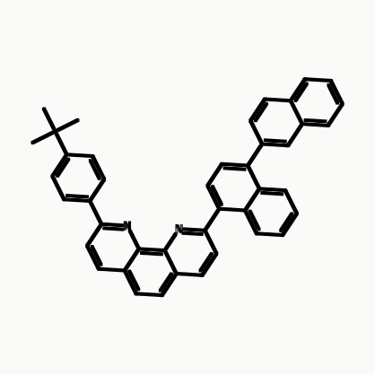 CC(C)(C)c1ccc(-c2ccc3ccc4ccc(-c5ccc(-c6ccc7ccccc7c6)c6ccccc56)nc4c3n2)cc1